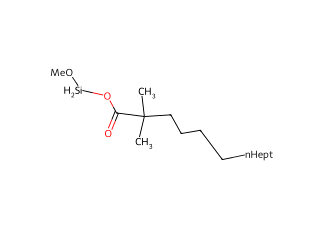 CCCCCCCCCCCC(C)(C)C(=O)O[SiH2]OC